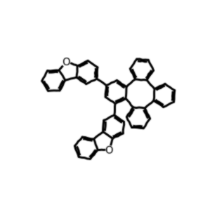 c1ccc2c(c1)-c1ccccc1-c1cc(-c3ccc4oc5ccccc5c4c3)cc(-c3ccc4oc5ccccc5c4c3)c1-c1ccccc1-2